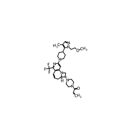 C=CC(=O)N1CCN([C@H]2CN3c4cc(N5CCC(c6c(C)cnn6CCOC)CC5)nc(C(F)(F)F)c4C=CC[C@@H]23)CC1